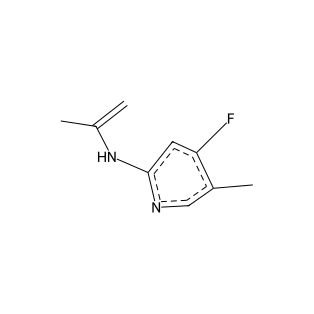 C=C(C)Nc1cc(F)c(C)cn1